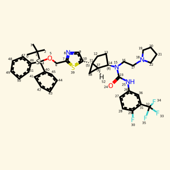 CC(C)(C)[Si](OCc1ncc([C@]23CC[C@@H](N(CCN4CCCC4)C(=O)Nc4ccc(F)c(C(F)(F)F)c4)[C@H]2C3)s1)(c1ccccc1)c1ccccc1